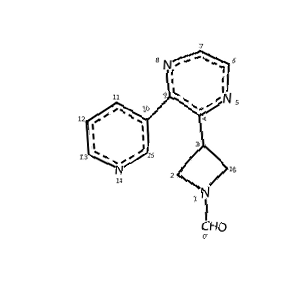 O=CN1CC(c2nccnc2-c2cccnc2)C1